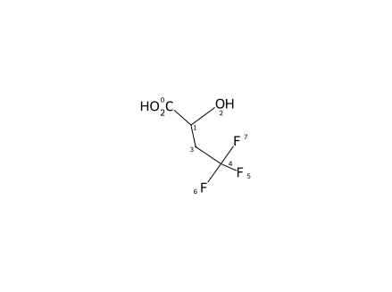 O=C(O)C(O)CC(F)(F)F